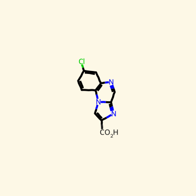 O=C(O)c1cn2c(cnc3cc(Cl)ccc32)n1